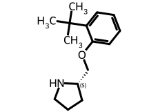 CC(C)(C)c1ccccc1OC[C@@H]1CCCN1